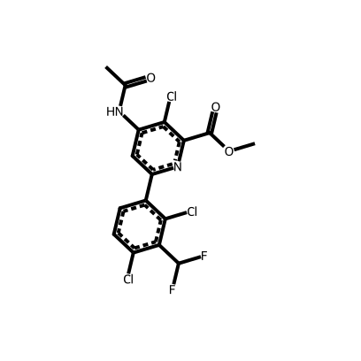 COC(=O)c1nc(-c2ccc(Cl)c(C(F)F)c2Cl)cc(NC(C)=O)c1Cl